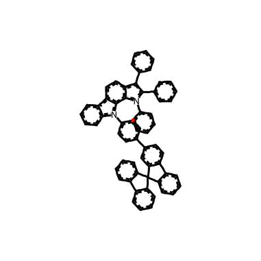 c1ccc(-c2c(-c3ccccc3)n(-c3ccccc3)c3c2ccc2c4ccccc4n(-c4ccc(-c5ccc6c(c5)C5(c7ccccc7-c7ccccc75)c5ccccc5-6)cc4)c23)cc1